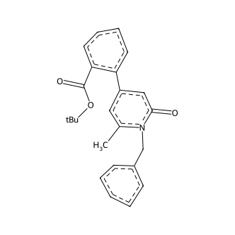 Cc1cc(-c2ccccc2C(=O)OC(C)(C)C)cc(=O)n1Cc1ccccc1